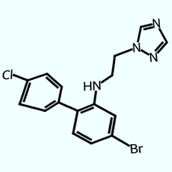 Clc1ccc(-c2ccc(Br)cc2NCCn2cncn2)cc1